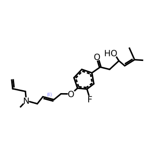 C=CCN(C)C/C=C/COc1ccc(C(=O)CC(O)C=C(C)C)cc1F